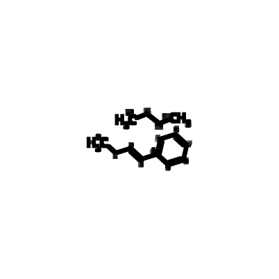 CCC=Cc1ccccc1.CCCC